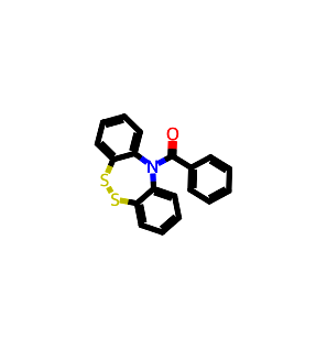 O=C(c1ccccc1)n1c2ccccc2ssc2ccccc21